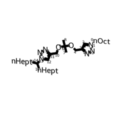 CCCCCCCCn1cc(COC(C)(C)OCc2cn(C(CCCCCCC)CCCCCCC)nn2)nn1